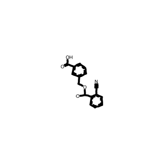 N#Cc1ccccc1C([O])OCc1cccc(C(=O)O)c1